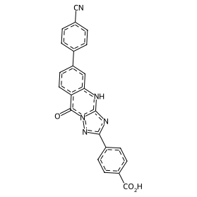 N#Cc1ccc(-c2ccc3c(=O)n4nc(-c5ccc(C(=O)O)cc5)nc4[nH]c3c2)cc1